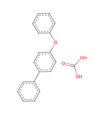 O=C(O)O.c1ccc(Oc2ccc(-c3ccccc3)cc2)cc1